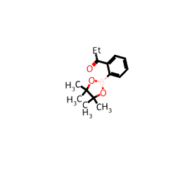 CCC(=O)c1ccccc1B1OC(C)(C)C(C)(C)O1